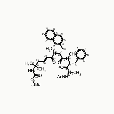 CC(=O)NN(C)C(=O)[C@@H](Cc1ccccc1)N(C)C(=O)[C@@H](Cc1ccc2ccccc2c1)N(C)C(=O)C=CCC(C)(C)NC(=O)OC(C)(C)C